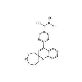 CCN(CC)C(O)c1ccc(C2=CC3(CCCNCC3)Oc3ccccc32)nc1